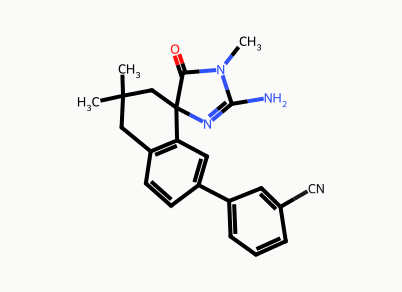 CN1C(=O)C2(CC(C)(C)Cc3ccc(-c4cccc(C#N)c4)cc32)N=C1N